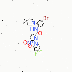 O=C(Nc1ccc(Br)cc1N1CCC2(CC1)CC2)c1ccc([N+](=O)[O-])c(N2CCC(F)(F)CC2)n1